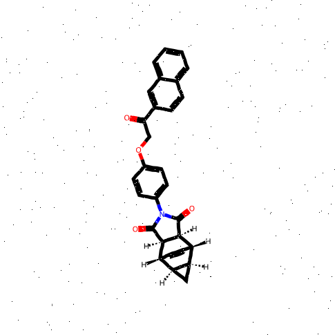 O=C(COc1ccc(N2C(=O)[C@@H]3[C@@H]4C=C[C@@H]([C@H]5C[C@@H]45)[C@@H]3C2=O)cc1)c1ccc2ccccc2c1